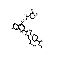 CCOC(=O)N1CCN(C(=O)C(CCC(=O)O)NC(=O)c2cc(OCC(=O)N3CCNC(=O)C3)c3ccc(C)cc3n2)CC1